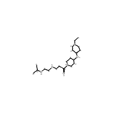 CCN1CCC(OC2CCN(C(=O)CCOCCOC(C)C)CC2)CC1